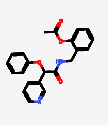 CC(=O)Oc1ccccc1CNC(=O)C(Oc1ccccc1)c1cccnc1